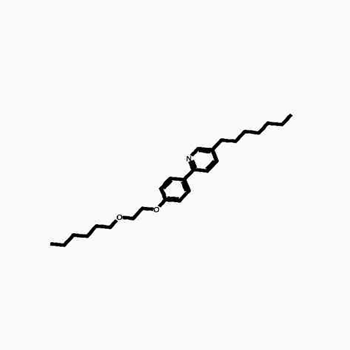 CCCCCCCc1ccc(-c2ccc(OCCOCCCCCC)cc2)nc1